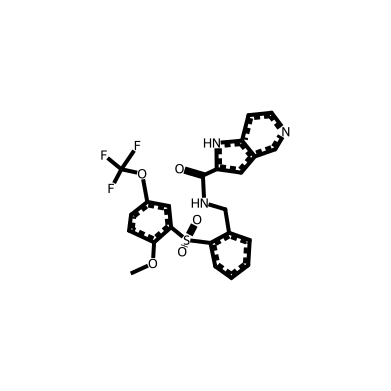 COc1ccc(OC(F)(F)F)cc1S(=O)(=O)c1ccccc1CNC(=O)c1cc2cnccc2[nH]1